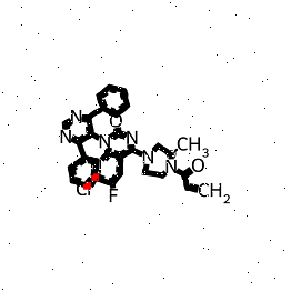 C=CC(=O)N1CCN(c2nc(=O)n(-c3c(-c4ccccc4)ncnc3-c3ccccc3)c3nc(Cl)c(F)cc23)C[C@@H]1C